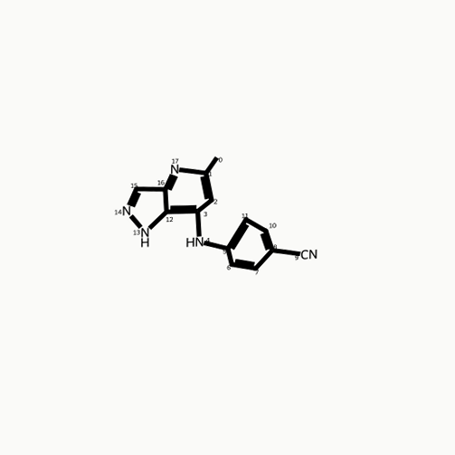 Cc1cc(Nc2ccc(C#N)cc2)c2[nH]ncc2n1